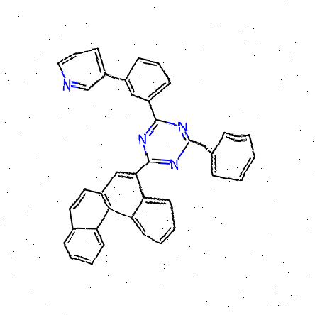 c1ccc(-c2nc(-c3cccc(-c4cccnc4)c3)nc(-c3cc4ccc5ccccc5c4c4ccccc34)n2)cc1